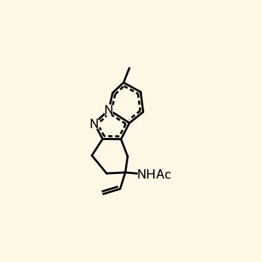 C=CC1(NC(C)=O)CCc2nn3cc(C)ccc3c2C1